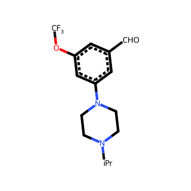 CC(C)N1CCN(c2cc(C=O)cc(OC(F)(F)F)c2)CC1